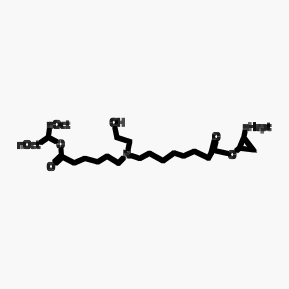 CCCCCCCCC(CCCCCCCC)OC(=O)CCCCCN(CCO)CCCCCCCC(=O)OC1CC1CCCCCCC